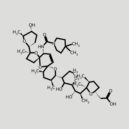 CCC(C(O)[C@@H](C)[C@@H](O)[C@H](C)[C@]1(C)O[C@@H](CC(=O)O)CC[C@@H]1C)[C@H]1O[C@]2(C=C[C@@H](NC(=O)N3CCC(C)(C)CC3)[C@]3(CC[C@@](C)([C@H]4CC[C@@H](O)[C@H](C)O4)O3)O2)[C@H](C)C[C@@H]1C